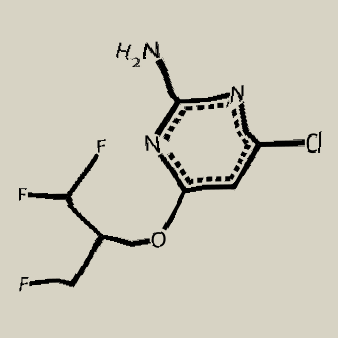 Nc1nc(Cl)cc(OC(CF)C(F)F)n1